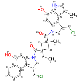 CCC1(C(=O)N2CC(CCl)c3c2cc(O)c2ccccc32)CC(C)(C(=O)N2CC(CCl)c3c2cc(O)c2[nH]cc(C)c32)C1